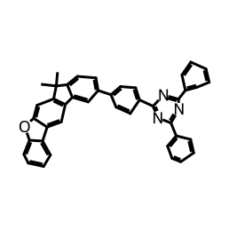 CC1(C)c2ccc(-c3ccc(-c4nc(-c5ccccc5)nc(-c5ccccc5)n4)cc3)cc2-c2cc3c(cc21)oc1ccccc13